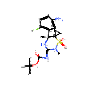 CN1/C(=N/C(=O)OC(C)(C)C)N[C@](C)(c2cc(N)ccc2F)C2(CC2)S1(=O)=O